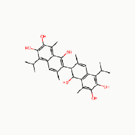 CC1=Cc2c(C(C)C)c(O)c(O)c(C)c2C(O)C1c1c(C)cc2c(C(C)C)c(O)c(O)c(C)c2c1O